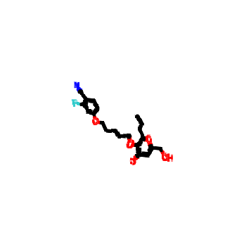 C=CCc1oc(CO)cc(=O)c1OCCCCCOc1ccc(C#N)c(F)c1